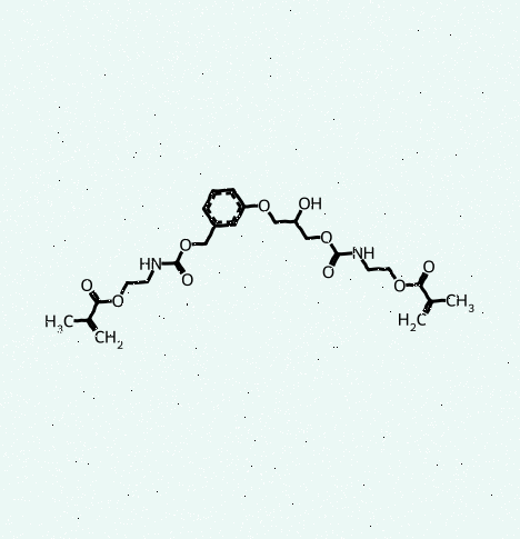 C=C(C)C(=O)OCCNC(=O)OCc1cccc(OCC(O)COC(=O)NCCOC(=O)C(=C)C)c1